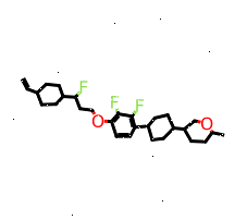 C=CC1CCC(C(F)CCOc2ccc(C3CCC(C4CCC(C)OC4)CC3)c(F)c2F)CC1